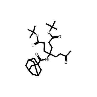 CC(=O)CCC(CCC(=O)OC(C)(C)C)(CCC(=O)OC(C)(C)C)NC(=O)C12CC3CC(CC(C3)C1)C2